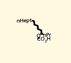 CCCCCCCCCCCCC(CCC)OC(=O)O